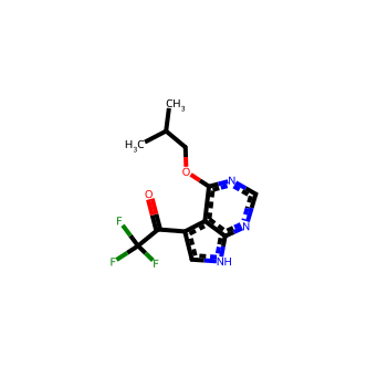 CC(C)COc1ncnc2[nH]cc(C(=O)C(F)(F)F)c12